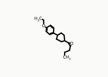 CCCC1OC1C1CCC(c2ccc(OCC)cc2)CC1